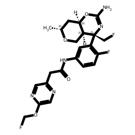 C[C@@H]1C[C@H]2OC(N)=N[C@](CF)(c3cc(NC(=O)Cc4cnc(OCF)cn4)ccc3F)[C@H]2CO1